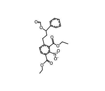 CCOC(=O)c1ccc(CCC(OC=O)c2ccccc2)c(C(=O)OCC)c1[N+](=O)[O-]